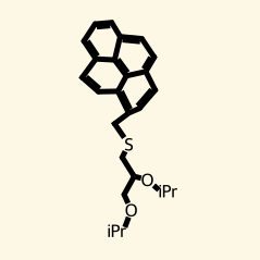 CC(C)OCC(CSCc1ccc2ccc3cccc4ccc1c2c34)OC(C)C